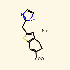 O=C([O-])C1=Cc2sc(Cc3ncc[nH]3)cc2CC1.[Na+]